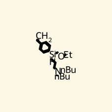 C=Cc1ccc([SiH](CCCN(CCCC)CCCC)COCC)cc1